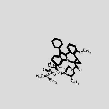 COc1cccc2c1C1CC1(C(=O)N1C[C@@H](C)N[C@@H](C)C1)Cn1c-2c(C2CCCCC2)c2ccc(C(=O)NS(=O)(=O)N(C)C)cc21